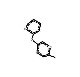 Cc1cnc(Oc2ccccn2)cn1